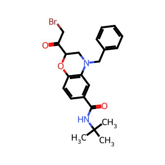 CC(C)(C)NC(=O)c1ccc2c(c1)N(Cc1ccccc1)CC(C(=O)CBr)O2